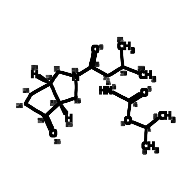 CC(C)OC(=O)N[C@H](C(=O)N1C[C@H]2CCC(=O)[C@H]2C1)C(C)C